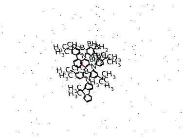 Bc1c(B)c(B)c(N(c2ccc3c(c2)N(c2ccc(C(C)(C)C)cc2)c2cc(C(C)(C)C)cc4c2B3c2cc(C(C)(C)C)ccc2N4c2ccc3c(c2)C(C)(C)c2ccccc2-3)c2ccc(C(C)(C)C)cc2-c2ccccc2)c(B)c1B